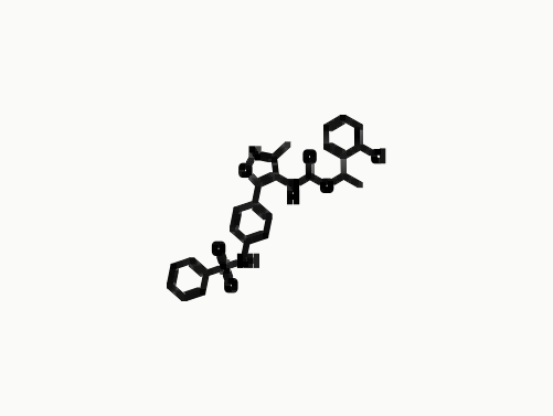 Cc1noc(-c2ccc(NS(=O)(=O)c3ccccc3)cc2)c1NC(=O)OC(C)c1ccccc1Cl